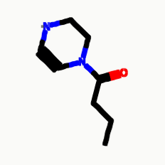 CCCC(=O)N1C#C[N]CC1